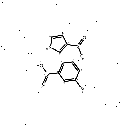 O=S(O)c1cccc(Br)c1.O=S(O)c1ccsc1